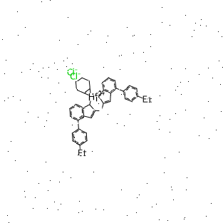 CCc1ccc(-c2cccc3c2C=C(C)[CH]3[Hf+2]2([CH]3C(C)=Cc4c(-c5ccc(CC)cc5)cccc43)[CH]3CCCC[CH]32)cc1.[Cl-].[Cl-]